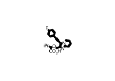 CC(C)C(OCc1nc2ccccn2c1C#Cc1ccc(F)cc1)C(=O)O